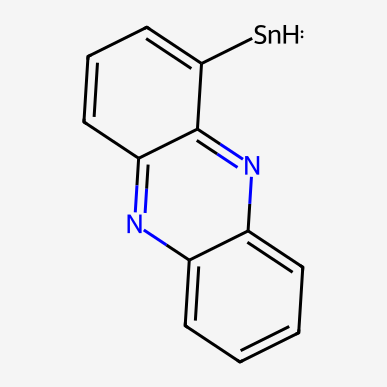 [SnH][c]1cccc2nc3ccccc3nc12